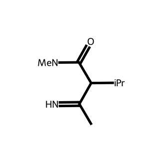 CNC(=O)C(C(C)=N)C(C)C